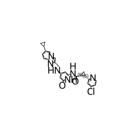 O=C(Nc1cc(NCc2cn3cc(C4CC4)ccc3n2)cc(=O)[nH]1)[C@H]1C[C@@H]1c1cc(Cl)ccn1